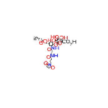 CC(C)CC(=O)OCc1ccc(O[C@@H]2O[C@H](C(=O)O)[C@@H](O)[C@H](O)[C@H]2O)c(NC(=O)CCNC(=O)CCCN2C(=O)C=CC2=O)c1